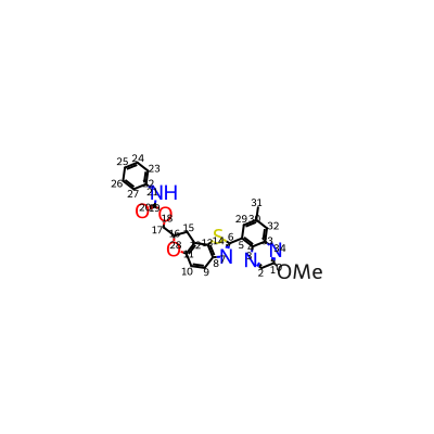 COc1cnc2c(-c3nc4ccc5c(c4s3)CC(COC(=O)Nc3ccccc3)O5)cc(C)cc2n1